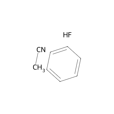 CC#N.F.c1ccccc1